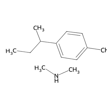 CCC(C)c1ccc(C)cc1.CNC